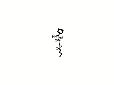 CCCCC(=O)OCOC(=O)NC(=N)c1cc[c]cc1